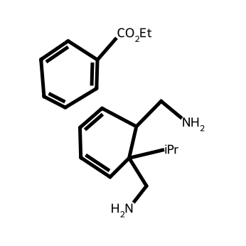 CC(C)C1(CN)C=CC=CC1CN.CCOC(=O)c1ccccc1